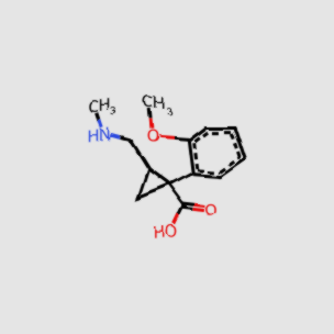 CNCC1CC1(C(=O)O)c1ccccc1OC